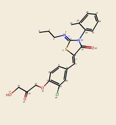 CCC/N=C1\S/C(=C\c2ccc(OCC(=O)CO)c(Cl)c2)C(=O)N1c1ccccc1C